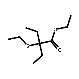 CCOC(=O)C(CC)(CC)SCC